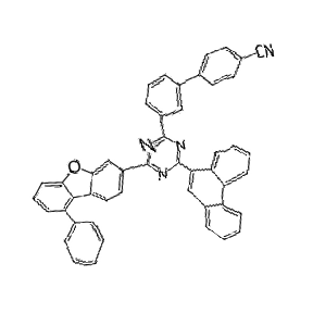 N#Cc1ccc(-c2cccc(-c3nc(-c4ccc5c(c4)oc4cccc(-c6ccccc6)c45)nc(-c4cc5ccccc5c5ccccc45)n3)c2)cc1